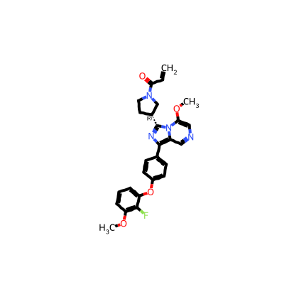 C=CC(=O)N1CC[C@@H](c2nc(-c3ccc(Oc4cccc(OC)c4F)cc3)c3cncc(OC)n23)C1